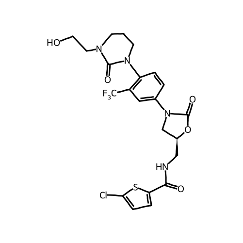 O=C(NC[C@H]1CN(c2ccc(N3CCCN(CCO)C3=O)c(C(F)(F)F)c2)C(=O)O1)c1ccc(Cl)s1